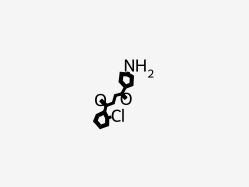 Nc1ccc(C(=O)CCC(=O)c2ccccc2Cl)cc1